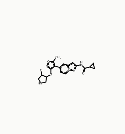 Cc1onc(OC2CNCC2F)c1-c1ccn2nc(NC(=O)C3CC3)cc2c1